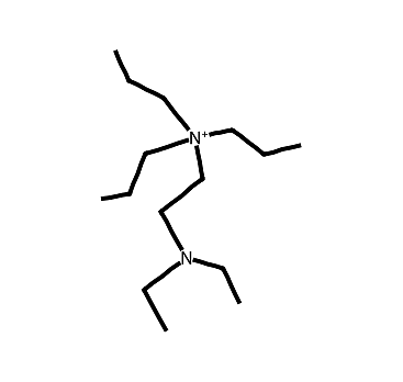 CCC[N+](CCC)(CCC)CCN(CC)CC